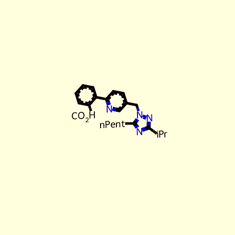 CCCCCc1nc(C(C)C)nn1Cc1ccc(-c2ccccc2C(=O)O)nc1